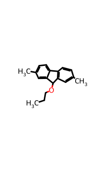 CCCOC1c2cc(C)ccc2-c2ccc(C)cc21